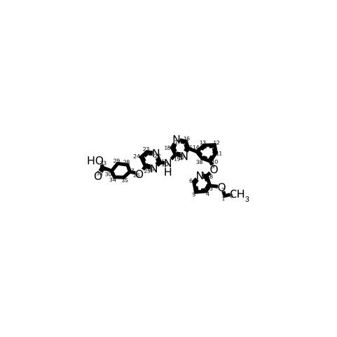 CCOc1cccnc1Oc1cccc(-c2cncc(Nc3nccc(OC4CCC(C(=O)O)CC4)n3)n2)c1